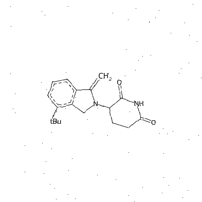 C=C1c2cccc(C(C)(C)C)c2CN1C1CCC(=O)NC1=O